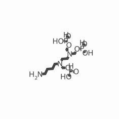 NCCCCN(CCN(CO[PH](=O)O)CO[PH](=O)O)CO[PH](=O)O